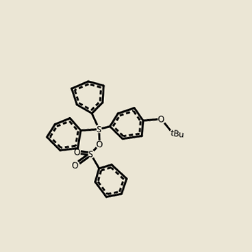 CC(C)(C)Oc1ccc(S(OS(=O)(=O)c2ccccc2)(c2ccccc2)c2ccccc2)cc1